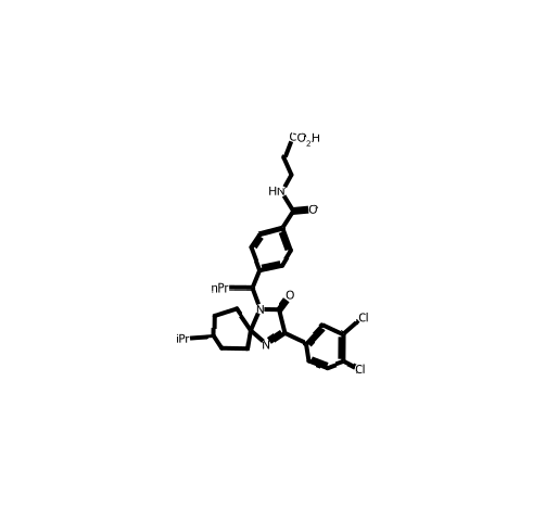 CCCC(c1ccc(C(=O)NCCC(=O)O)cc1)N1C(=O)C(c2ccc(Cl)c(Cl)c2)=NC12CCC(C(C)C)CC2